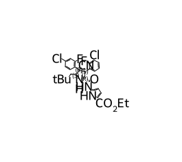 CCOC(=O)c1ccc(NC(=O)[C@@H]2N[C@@H](CC(C)(C)C)[C@](C#N)(c3ccc(Cl)cc3F)[C@H]2c2cccc(Cl)c2F)[nH]1